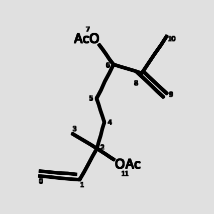 C=CC(C)(CCC(OC(C)=O)C(=C)C)OC(C)=O